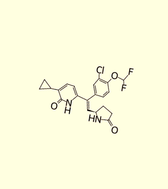 O=C1CC[C@H](/C=C(\c2ccc(OC(F)F)c(Cl)c2)c2ccc(C3CC3)c(=O)[nH]2)N1